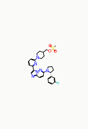 CS(=O)(=O)OCC1CCN(c2cccc(-c3cnc4ccc(N5CCC[C@@H]5c5cccc(F)c5)nn34)n2)CC1